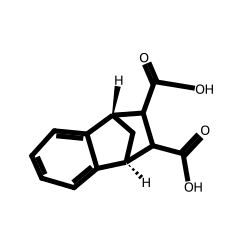 O=C(O)C1C(C(=O)O)[C@@H]2C[C@@H]1c1ccccc12